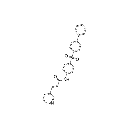 O=C(C=Cc1cccnc1)Nc1ccc(S(=O)(=O)c2ccc(-c3ccccc3)cc2)cc1